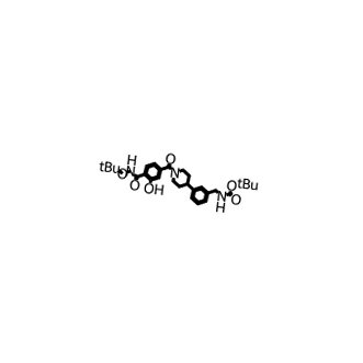 CC(C)(C)ONC(=O)c1ccc(C(=O)N2CCC(c3cccc(CNC(=O)OC(C)(C)C)c3)CC2)cc1O